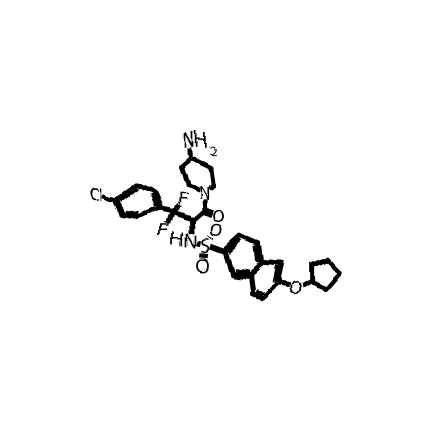 NC1CCN(C(=O)C(NS(=O)(=O)c2ccc3cc(OC4CCCC4)ccc3c2)C(F)(F)c2ccc(Cl)cc2)CC1